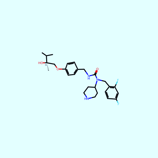 CC(C)[C@](C)(O)COc1ccc(CNC(=O)N(Cc2ccc(F)cc2F)C2CCNCC2)cc1